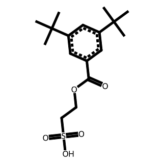 CC(C)(C)c1cc(C(=O)OCCS(=O)(=O)O)cc(C(C)(C)C)c1